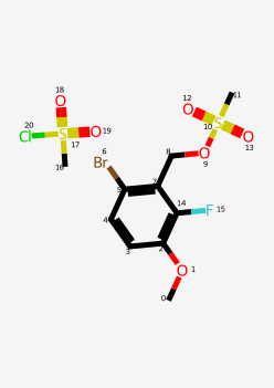 COc1ccc(Br)c(COS(C)(=O)=O)c1F.CS(=O)(=O)Cl